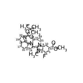 COC(=O)c1cc(F)c2c(c1)nc(-c1cc3ccc4ccn(C(=O)OC(C)(C)C)c4c3n1CC1CC1)n2C